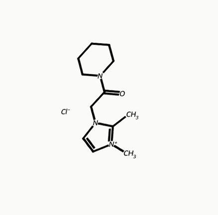 Cc1n(CC(=O)N2CCCCC2)cc[n+]1C.[Cl-]